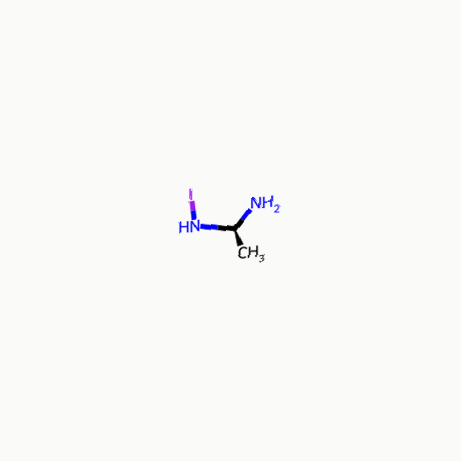 C[C@H](N)NI